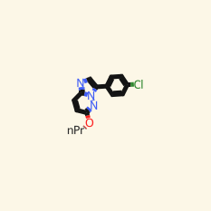 [CH2]CCOc1ccc2ncc(-c3ccc(Cl)cc3)n2n1